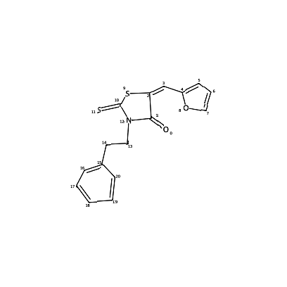 O=C1/C(=C\c2ccco2)SC(=S)N1CCc1ccccc1